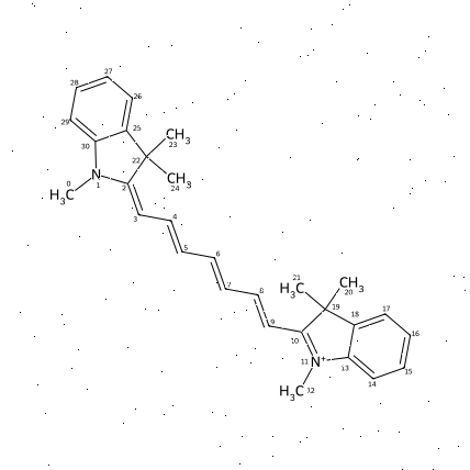 CN1/C(=C/C=C/C=C/C=C/C2=[N+](C)c3ccccc3C2(C)C)C(C)(C)c2ccccc21